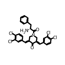 N[C@H](Cc1ccccc1)C(=O)N1C/C(=C\c2ccc(Cl)c(Cl)c2)C(=O)/C(=C/c2ccc(Cl)c(Cl)c2)C1